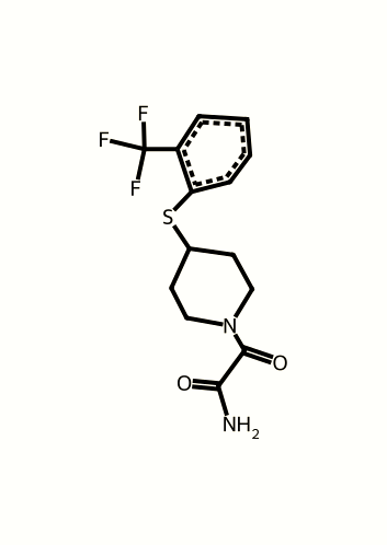 NC(=O)C(=O)N1CCC(Sc2ccccc2C(F)(F)F)CC1